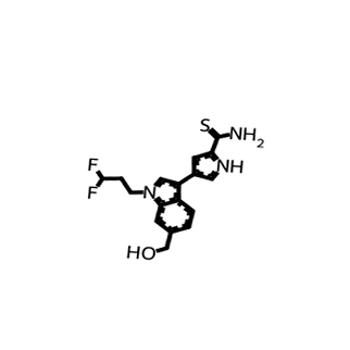 NC(=S)c1cc(-c2cn(CCC(F)F)c3cc(CO)ccc23)c[nH]1